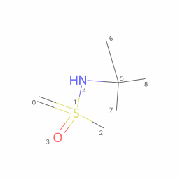 C=S(C)(=O)NC(C)(C)C